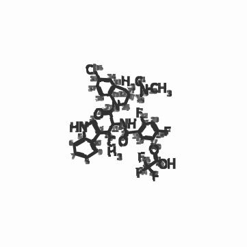 CC(c1c[nH]c2ccccc12)C(NC(=O)c1ccc(F)cc1F)C(=O)N1C[C@@H](CN(C)C)Cc2cc(Cl)ccc21.O=C(O)C(F)(F)F